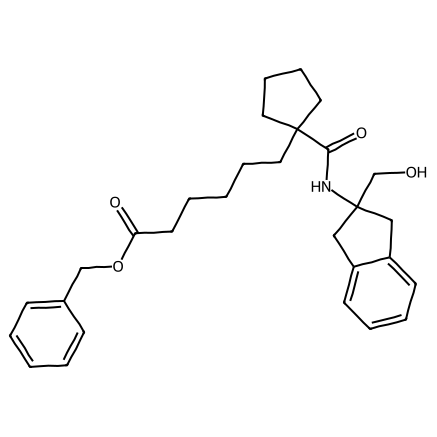 O=C(CCCCCC1(C(=O)NC2(CO)Cc3ccccc3C2)CCCC1)OCc1ccccc1